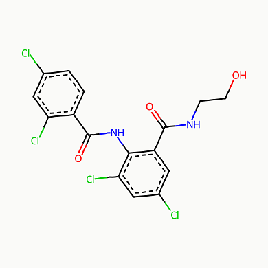 O=C(Nc1c(Cl)cc(Cl)cc1C(=O)NCCO)c1ccc(Cl)cc1Cl